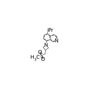 CC(C)c1ccc(N2CC(CS(C)(=O)=O)C2)c2cnccc12